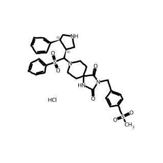 CS(=O)(=O)c1ccc(CN2C(=O)NC3(CCN(C([C@@H]4CNC[C@@H]4c4ccccc4)S(=O)(=O)c4ccccc4)CC3)C2=O)cc1.Cl